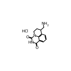 Cl.NCC1CCn2c(=O)[nH]c(=O)c3cccc1c32